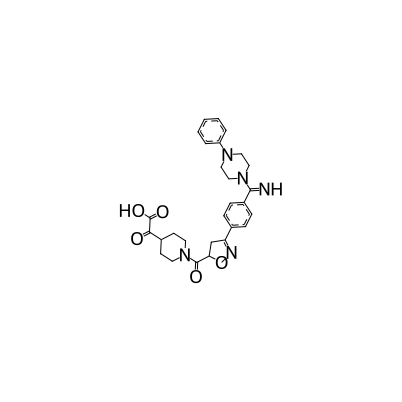 N=C(c1ccc(C2=NOC(C(=O)N3CCC(C(=O)C(=O)O)CC3)C2)cc1)N1CCN(c2ccccc2)CC1